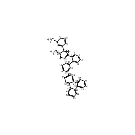 CC1C=C(C2=NC(c3ccccc3-c3cccc(-c4ccc5c6ccccc6c6ccccc6c5c4)c3)=CCN2C)C=CC1